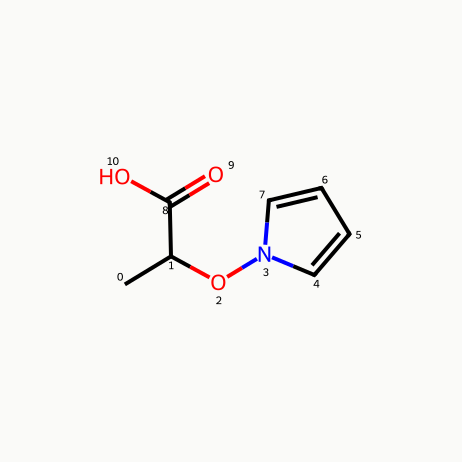 CC(On1cccc1)C(=O)O